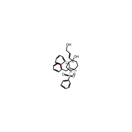 O=S(=O)(c1ccccc1)[C@@H]1C[C@]2(c3ccccc3)N(Cc3ccccc3)[C@H]1CC[C@@]2(O)C=CCO